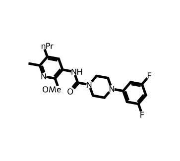 CCCc1cc(NC(=O)N2CCN(c3cc(F)cc(F)c3)CC2)c(OC)nc1C